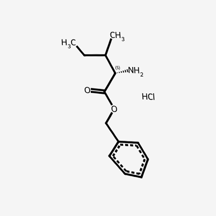 CCC(C)[C@H](N)C(=O)OCc1ccccc1.Cl